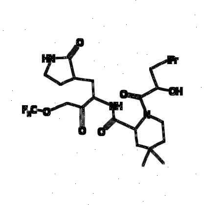 CC(C)CC(O)C(=O)N1CCC(C)(C)CC1C(=O)NC(CC1CCNC1=O)C(=O)COC(F)(F)F